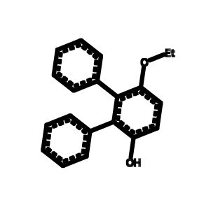 CCOc1ccc(O)c(-c2ccccc2)c1-c1ccccc1